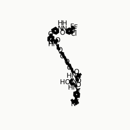 Cc1ncsc1-c1ccc([C@H](C)NC(=O)[C@@H]2C[C@H](O)CN2C(=O)C(NC(=O)CCOCCOCCOCCOCCNC(=O)c2cc(Oc3ccc(NC(=O)Nc4ccc(Cl)c(C(F)(F)F)c4)cc3)ccn2)C(C)(C)C)cc1